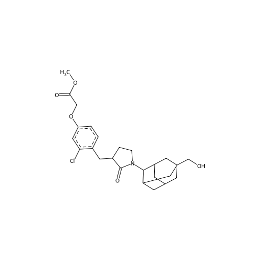 COC(=O)COc1ccc(CC2CCN(C3C4CC5CC3CC(CO)(C5)C4)C2=O)c(Cl)c1